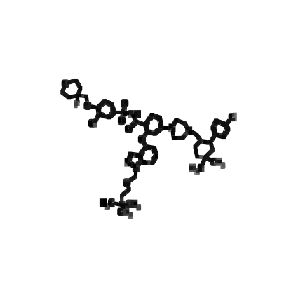 CC1(C)CCC(CN2CCN(c3ccc(C(=O)NS(=O)(=O)c4ccc(OCC5(F)CCOCC5)c(Cl)c4)c(Oc4cccc5c4cnn5COCC[Si](C)(C)C)c3)CC2)=C(c2ccc(Cl)cc2)C1